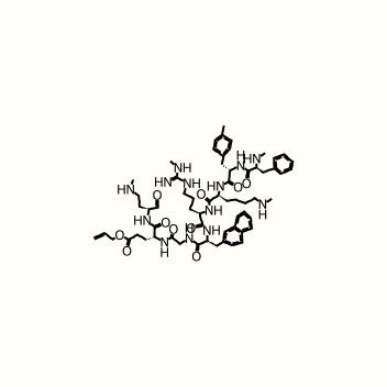 C=CCOC(=O)CC[C@@H](NC(=O)CNC(=O)[C@H](Cc1ccc2ccccc2c1)NC(=O)[C@@H](CCCNC(=N)NC)NC(=O)[C@H](CCCCNC)NC(=O)[C@H](Cc1ccc(C)cc1)NC(=O)[C@H](Cc1ccccc1)NC)C(=O)N[C@H](C=O)CCNC